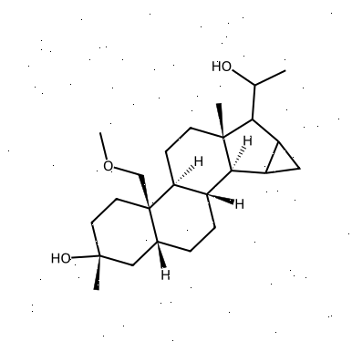 COC[C@]12CC[C@@](C)(O)C[C@H]1CC[C@@H]1[C@@H]2CC[C@]2(C)C(C(C)O)C3CC3[C@@H]12